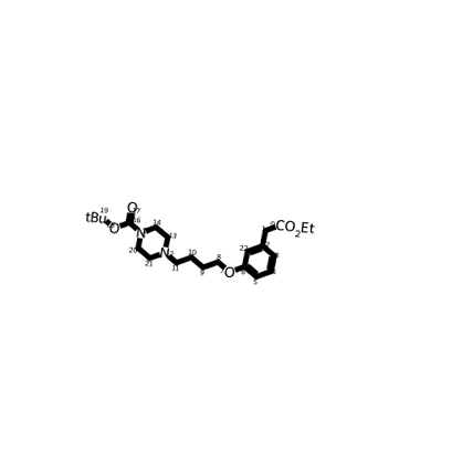 CCOC(=O)Cc1cccc(OCCCCN2CCN(C(=O)OC(C)(C)C)CC2)c1